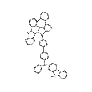 CC1(C)c2ccccc2-c2ccc(N(c3ccccc3)c3ccc(-c4ccc(N5c6cccc7c6C6c8c(cccc8C8Sc9ccccc9C8C65)-c5ccccc5-7)cc4)cc3)cc21